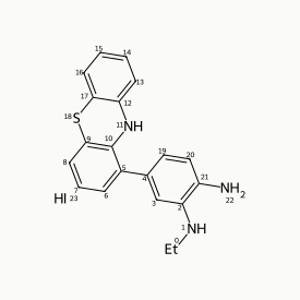 CCNc1cc(-c2cccc3c2Nc2ccccc2S3)ccc1N.I